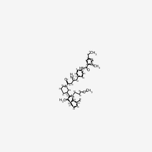 CCc1cc(C(=O)Nc2ccc(CC(N)CC(=O)N3CCCC(c4c(C)c5cccc(F)c5n4CCCOC)C3)cc2)n(C)n1